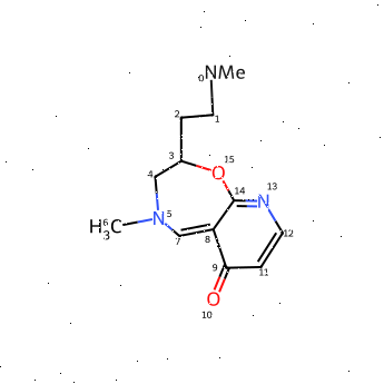 CNCCC1CN(C)C=C2C(=O)C=CN=C2O1